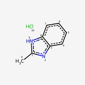 Cc1nc2ccccc2[nH]1.Cl